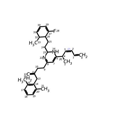 C=C/C=C\[C@@H](C)C1=CC(CCC(=C)Cc2c(C)cccc2C)=NC(CCC2C(F)=CC=CC2C)N1